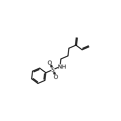 C=CC(=C)CCCNS(=O)(=O)c1ccccc1